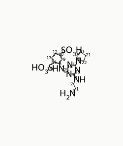 NCCNc1nc(Nc2cc(S(=O)(=O)O)ccc2S(=O)(=O)O)nc(N2CCCC2)n1